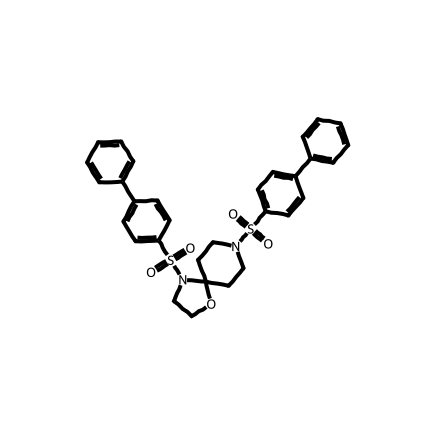 O=S(=O)(c1ccc(-c2ccccc2)cc1)N1CCC2(CC1)OCCN2S(=O)(=O)c1ccc(-c2ccccc2)cc1